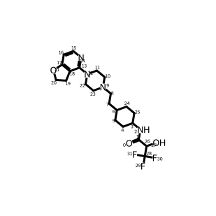 O=C(NC1CCC(CCN2CCN(c3nccc4c3CCO4)CC2)CC1)C(O)C(F)(F)F